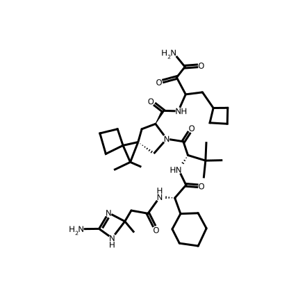 CC1(CC(=O)N[C@H](C(=O)N[C@H](C(=O)N2C[C@]3(C[C@H]2C(=O)NC(CC2CCC2)C(=O)C(N)=O)C(C)(C)C32CCC2)C(C)(C)C)C2CCCCC2)N=C(N)N1